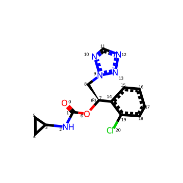 O=C(NC1CC1)O[C@@H](Cn1ncnn1)c1ccccc1Cl